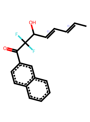 C/C=C/C=C/C(O)C(F)(F)C(=O)c1ccc2ccccc2c1